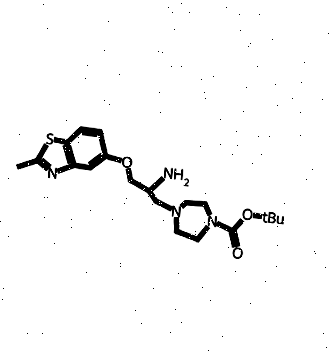 Cc1nc2cc(OCC(N)CN3CCN(C(=O)OC(C)(C)C)CC3)ccc2s1